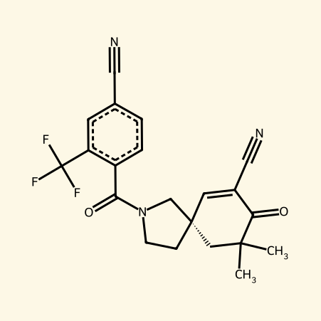 CC1(C)C[C@]2(C=C(C#N)C1=O)CCN(C(=O)c1ccc(C#N)cc1C(F)(F)F)C2